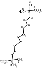 CCOC(=O)C(C)(C)CCCCCOCCCCC(C)(C)C(=O)OCC